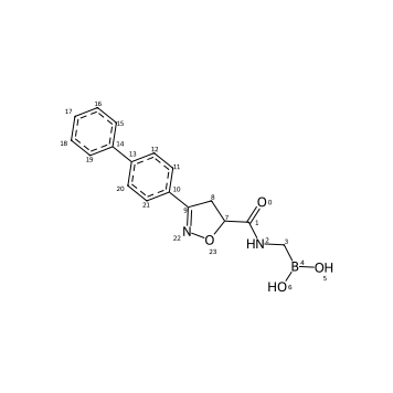 O=C(NCB(O)O)C1CC(c2ccc(-c3ccccc3)cc2)=NO1